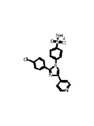 NS(=O)(=O)c1ccc(-n2cc(-c3ccncc3)nc2-c2ccc(Cl)cc2)cc1